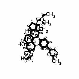 CCOC[C@]1(OC)CC[C@H]2[C@@H]3CC[C@@]4(O)CC(OC)(OC)CCC4=C3[C@@H](c3ccc(C4COC(C)O4)cc3)C[C@@]21C